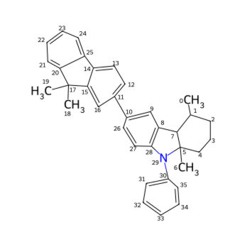 CC1CCCC2(C)C1c1cc(-c3ccc4c(c3)C(C)(C)c3ccccc3-4)ccc1N2c1ccccc1